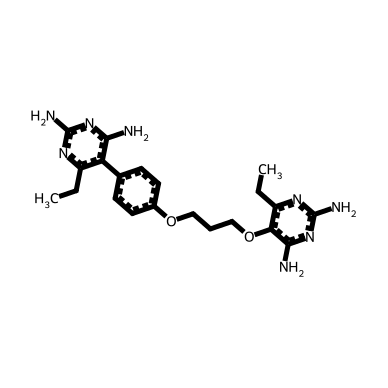 CCc1nc(N)nc(N)c1OCCCOc1ccc(-c2c(N)nc(N)nc2CC)cc1